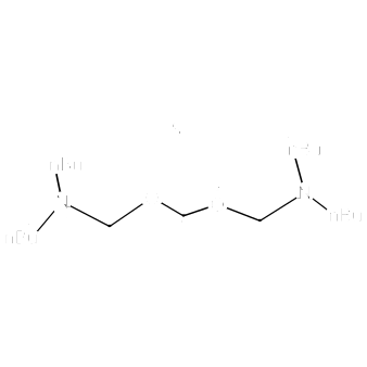 CCCCN(CCCC)COCOCN(CCCC)CCCC.[S]